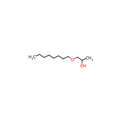 CCCCCCCCOCC(C)O